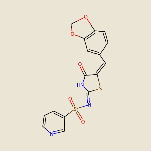 O=C1NC(=NS(=O)(=O)c2cccnc2)SC1=Cc1ccc2c(c1)OCO2